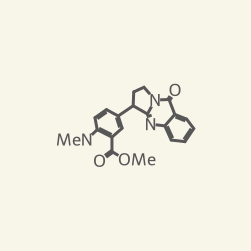 CNc1ccc(C2CCn3c2nc2ccccc2c3=O)cc1C(=O)OC